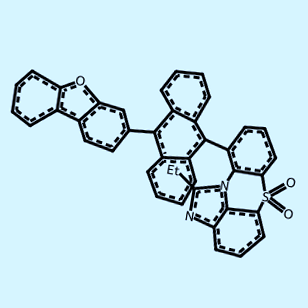 CCc1nc2cccc3c2n1-c1c(-c2c4ccccc4c(-c4ccc5c(c4)oc4ccccc45)c4ccccc24)cccc1S3(=O)=O